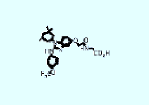 C[C@@H]1C[C@H](n2c(Nc3ccc(OC(F)(F)F)cc3)nc3cc(OCC(=O)NCC(=O)O)ccc32)CC(C)(C)C1